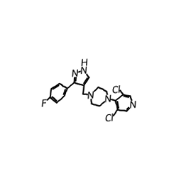 Fc1ccc(-c2n[nH]cc2CN2CCN(c3c(Cl)cncc3Cl)CC2)cc1